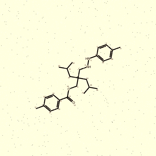 Cc1ccc(NNCC(COC(=O)c2ccc(C)cc2)(CC(C)C)CC(C)C)cc1